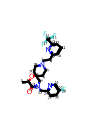 CC1OC2(CCN(CCc3cccc(C(F)(F)F)n3)CC2)CN(Cc2ccc(F)cn2)C1=O